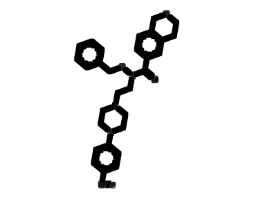 COc1ccc(N2CCN(CCN(OCc3ccccc3)C(=O)c3ccc4c(c3)CCOC4)CC2)cc1